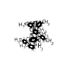 Cc1cc(C)c(B2c3ccccc3Sc3cc4c(cc32)Sc2cc(B(c3c(C)cc(C)cc3C)c3c(C)cc(C)cc3C)ccc2B4c2c(C)cc(C)cc2C)c(C)c1